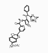 CC(=O)Nc1ccc2oc(-c3ccnc(C(=O)N(C)c4c[nH]cc4N(C)C(c4ccccc4)c4nnn(C)n4)c3)nc2c1